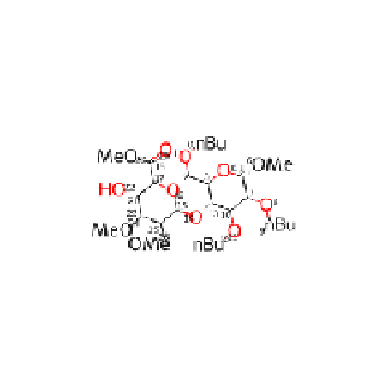 CCCCOCC1O[C@H](OC)C(OCCCC)C(OCCCC)[C@@H]1O[C@@H]1OC(C(=O)OC)[C@@H](O)C(OC)C1OC